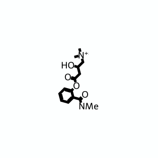 CNC(=O)c1ccccc1OC(=O)CC(O)C[N+](C)(C)C